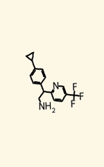 NCC(c1ccc(C2CC2)cc1)c1ccc(C(F)(F)F)cn1